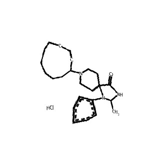 CC1NC(=O)C2(CCN(C3CCCCCCCCC3)CC2)N1c1ccccc1.Cl